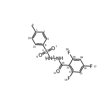 Cc1ccc(S(=O)(=O)NNC(=O)c2c(F)cc(F)cc2F)cc1